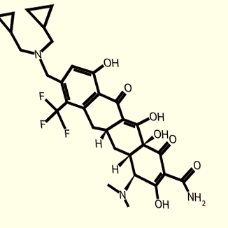 CN(C)[C@@H]1C(O)=C(C(N)=O)C(=O)[C@@]2(O)C(O)=C3C(=O)c4c(O)cc(CN(CC5CC5)CC5CC5)c(C(F)(F)F)c4C[C@H]3C[C@@H]12